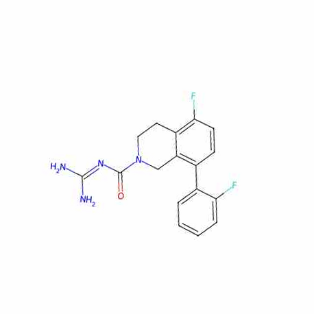 NC(N)=NC(=O)N1CCc2c(F)ccc(-c3ccccc3F)c2C1